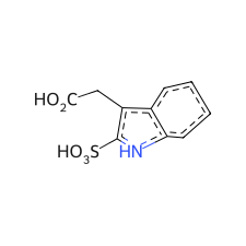 O=C(O)Cc1c(S(=O)(=O)O)[nH]c2ccccc12